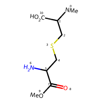 CNC(CSCC(N)C(=O)OC)C(=O)O